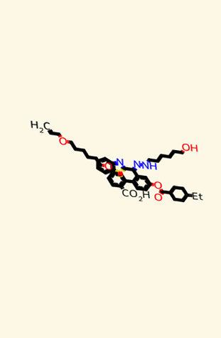 C=CCOCCCCCCOc1ccc(C(=O)O)c(-c2ccc(OC(=O)C3CCC(CC)CC3)cc2C(=NNCCCCCCO)c2nc3ccccc3s2)c1